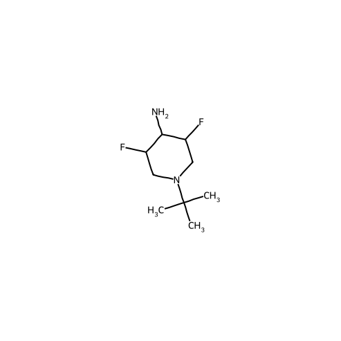 CC(C)(C)N1CC(F)C(N)C(F)C1